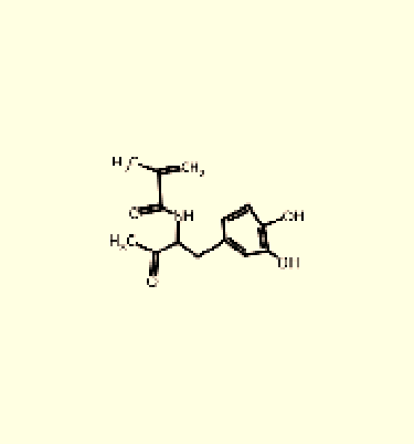 C=C(C)C(=O)NC(Cc1ccc(O)c(O)c1)C(C)=O